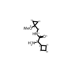 COC1(CNC(=O)[C@H](N)C2CCC2)CC1